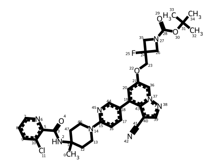 CC1(NC(=O)c2ncccc2Cl)CCN(c2ccc(-c3cc(OCC4(F)CN(C(=O)OC(C)(C)C)C4)cn4ncc(C#N)c34)cn2)CC1